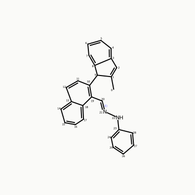 CC1=Cc2ccccc2C1c1ccc2ccccc2c1/C=N/Nc1ccccc1